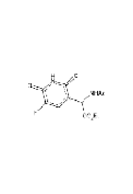 CCOC(=O)C(NC(C)=O)n1cc(F)c(=O)[nH]c1=O